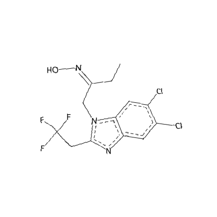 CC/C(Cn1c(CC(F)(F)F)nc2cc(Cl)c(Cl)cc21)=N/O